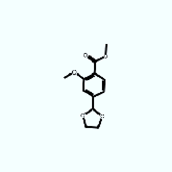 COC(=O)c1ccc(C2OCCO2)cc1OC